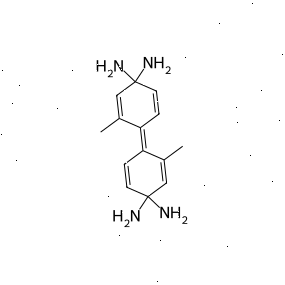 CC1=CC(N)(N)C=CC1=C1C=CC(N)(N)C=C1C